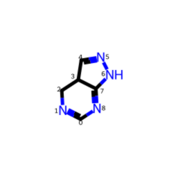 C1=NCC2C=NNC2=N1